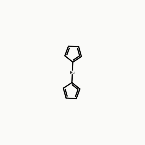 C1=CC=C[C]=1[Ru][C]1=C=CC=C1